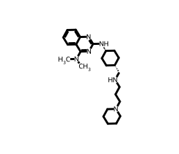 CN(C)c1nc(N[C@H]2CC[C@@H](CNCCCN3CCCCC3)CC2)nc2ccccc12